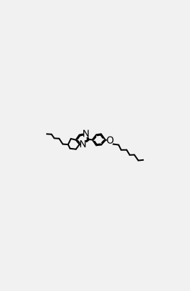 CCCCCCCCOc1ccc(-c2ncc3c(n2)CCC(CCCCC)C3)cc1